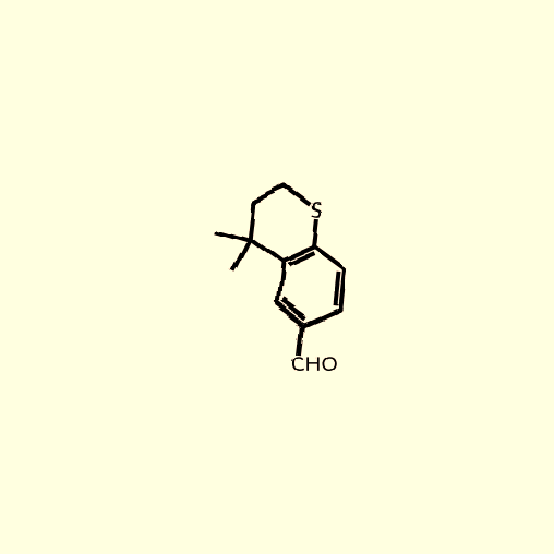 CC1(C)CCSc2ccc(C=O)cc21